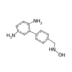 Nc1ccc(N)c(-c2ccc(CNO)cc2)c1